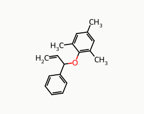 C=CC(Oc1c(C)cc(C)cc1C)c1ccccc1